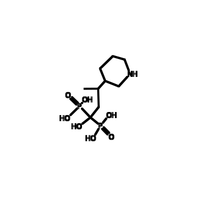 CC(CC(O)(P(=O)(O)O)P(=O)(O)O)C1CCCNC1